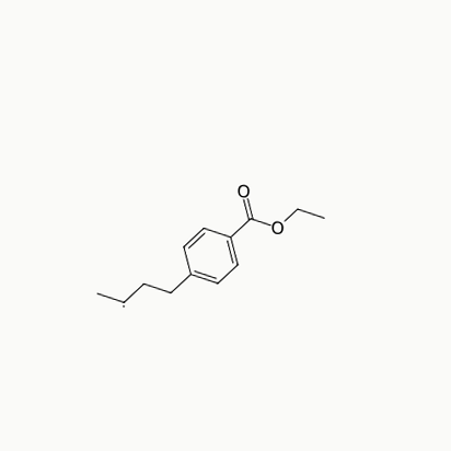 C[CH]CCc1ccc(C(=O)OCC)cc1